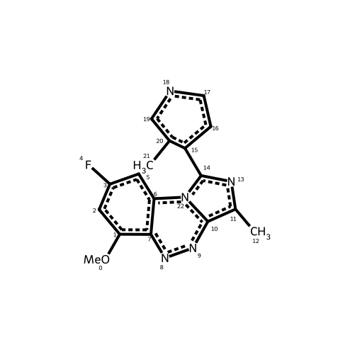 COc1cc(F)cc2c1nnc1c(C)nc(-c3ccncc3C)n12